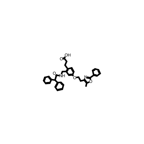 Cc1oc(-c2ccccc2)nc1CCOc1ccc(CCC(=O)O)c(CNC(=O)C(c2ccccc2)c2ccccc2)c1